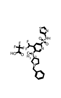 CN(c1cnc(S(=O)(=O)Nc2cscn2)cc1C(F)F)[C@H]1CCN(Cc2ccccc2)C1.O=C(O)C(F)(F)F